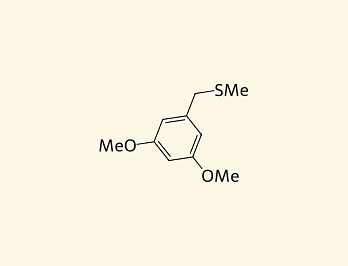 COc1cc(CSC)cc(OC)c1